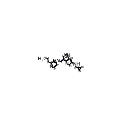 CCCc1cc(N/C=C(\C=N)c2ncc(NCC3CC3)cc2Cl)ccn1